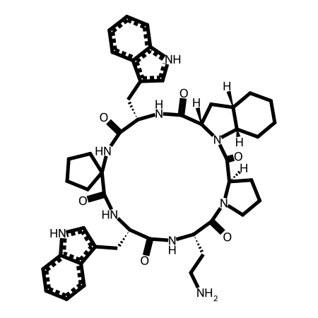 NCC[C@@H]1NC(=O)[C@H](Cc2c[nH]c3ccccc23)NC(=O)C2(CCCC2)NC(=O)[C@H](Cc2c[nH]c3ccccc23)NC(=O)[C@@H]2C[C@@H]3CCCC[C@@H]3N2C(=O)[C@H]2CCCN2C1=O